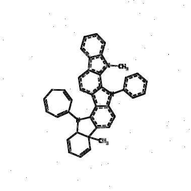 Cn1c2ccccc2c2ccc3c4c5c(ccc4n(-c4ccccc4)c3c21)C1(C)C=CC=CC1N5C1=CC=CCC=C1